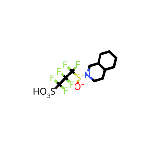 O=S(=O)(O)C(F)(F)C(F)(F)C(F)(F)[S+]([O-])N1CCC2CCCCC2C1